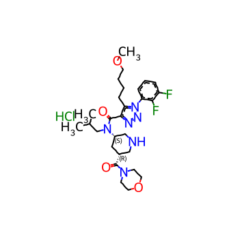 COCCCCc1c(C(=O)N(CC(C)C)[C@@H]2CNC[C@H](C(=O)N3CCOCC3)C2)nnn1-c1cccc(F)c1F.Cl